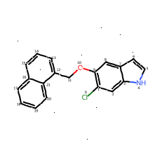 Clc1cc2[nH]ccc2cc1OCc1cccc2ccccc12